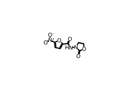 O=C(NN1CCOC1=O)c1ccc([N+](=O)[O-])o1